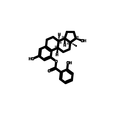 C[C@]12CC[C@@H]3c4c(cc(O)cc4OC(=O)c4ccccc4O)CC[C@H]3[C@@H]1CC[C@H]2O